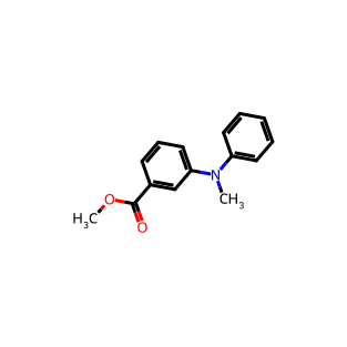 COC(=O)c1cccc(N(C)c2ccccc2)c1